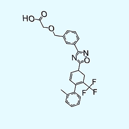 Cc1ccccc1C1=C(C(F)(F)F)CC(c2nc(-c3cccc(COCC(=O)O)c3)no2)C=C1